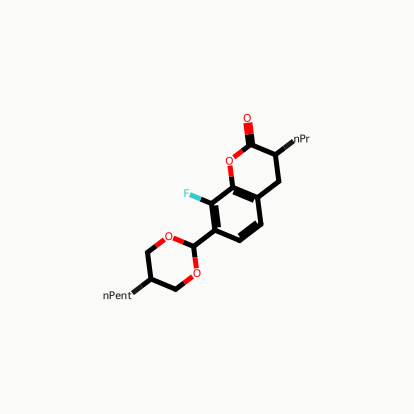 CCCCCC1COC(c2ccc3c(c2F)OC(=O)C(CCC)C3)OC1